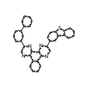 c1ccc(-c2cccc(-c3cnc4c5ccccc5c5ncc(-c6ccc7sc8ccccc8c7c6)nc5c4n3)c2)cc1